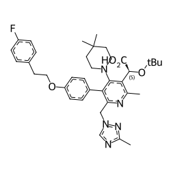 Cc1ncn(Cc2nc(C)c([C@H](OC(C)(C)C)C(=O)O)c(N3CCC(C)(C)CC3)c2-c2ccc(OCCc3ccc(F)cc3)cc2)n1